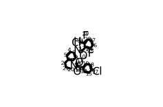 O=C(Nc1ccc2c(c1)N(S(=O)(=O)c1ccc(Cl)cc1)CCC2)c1c(F)ccc(F)c1Cl